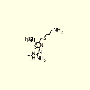 CCNC(N)=Nc1nc(CSC=CCN)cs1.Cl.Cl